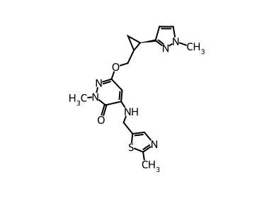 Cc1ncc(CNc2cc(OCC3C[C@H]3c3ccn(C)n3)nn(C)c2=O)s1